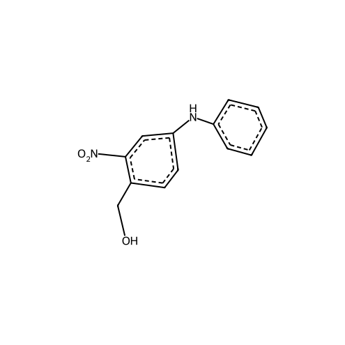 O=[N+]([O-])c1cc(Nc2ccccc2)ccc1CO